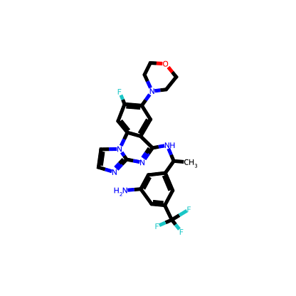 CC(Nc1nc2nccn2c2cc(F)c(N3CCOCC3)cc12)c1cc(N)cc(C(F)(F)F)c1